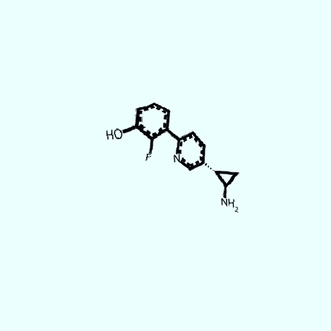 N[C@@H]1C[C@H]1c1ccc(-c2cccc(O)c2F)nc1